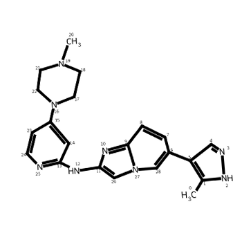 Cc1[nH]ncc1-c1ccc2nc(Nc3cc(N4CCN(C)CC4)ccn3)cn2c1